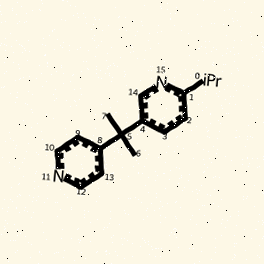 CC(C)c1ccc(C(C)(C)c2ccncc2)cn1